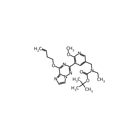 C=CCCOc1nc(-c2cc(CN(CC)C(=O)OC(C)(C)C)cnc2OC)nn2ccnc12